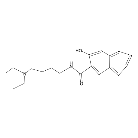 CCN(CC)CCCCNC(=O)c1cc2ccccc2cc1O